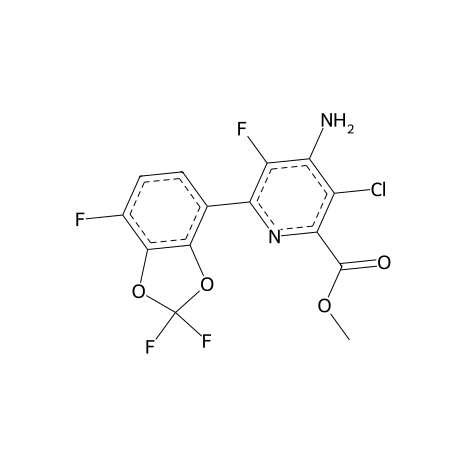 COC(=O)c1nc(-c2ccc(F)c3c2OC(F)(F)O3)c(F)c(N)c1Cl